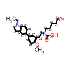 CCN1CCc2cc(-c3ccc(OC)c(CCN(CCCCC=O)C(=O)O)c3)ccc21